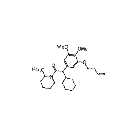 C=CCCOc1cc(C(C(=O)N2CCCCC2C(=O)O)C2CCCCC2)cc(OC)c1OC